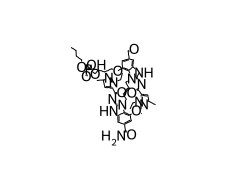 CCCCOP(=O)(O)OCCCOc1cc(C=O)cc2[nH]/c(=N/C(=O)c3cc(C)nn3CC)n(C/C=C/Cn3/c(=N\C(=O)c4cc(C)nn4CC)[nH]c4cc(C(N)=O)cc(OC)c43)c12